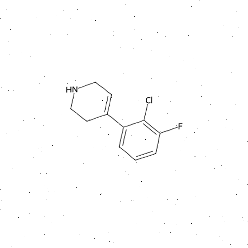 Fc1cccc(C2=CCNCC2)c1Cl